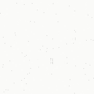 CCOC(=O)CNc1cc(C2(C)CC2)c(Cl)cc1OC